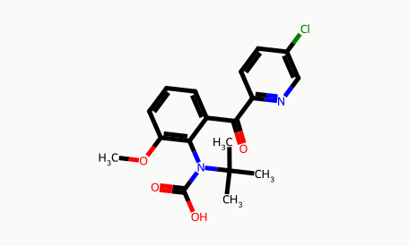 COc1cccc(C(=O)c2ccc(Cl)cn2)c1N(C(=O)O)C(C)(C)C